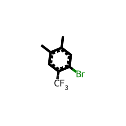 Cc1cc(Br)c(C(F)(F)F)cc1C